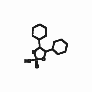 O=P1(O)OC(C2CCCCC2)C(C2CCCCC2)O1